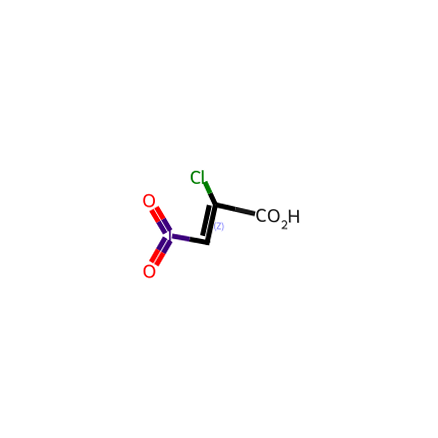 O=C(O)/C(Cl)=C/I(=O)=O